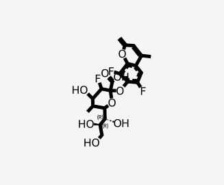 C=C1C=C(C)c2cc(F)c(OC3(C(=O)O)OC([C@H](O)[C@H](O)CO)C(C)C(O)C3F)c(F)c2O1